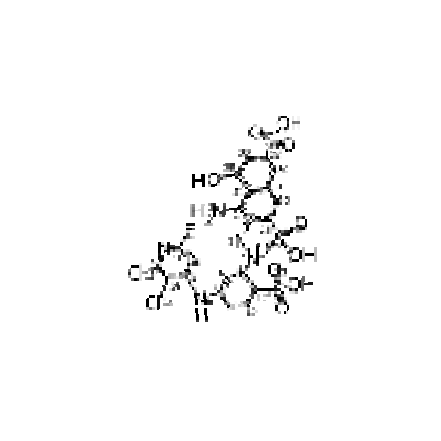 Nc1c(N=Nc2cc(Nc3nc(F)nc(Cl)c3Cl)ccc2S(=O)(=O)O)c(S(=O)(=O)O)cc2cc(S(=O)(=O)O)cc(O)c12